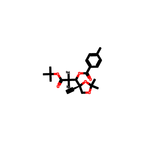 [2H]C([2H])(C(=O)OC(C)(C)C)C(OC(=O)c1ccc(C)cc1)[C@@]1(C#C)COC(C)(C)O1